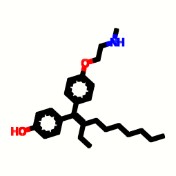 CCCCCCC/C(CC)=C(/c1ccc(O)cc1)c1ccc(OCCNC)cc1